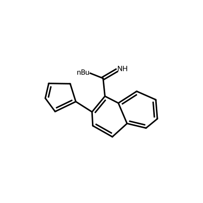 CCCCC(=N)c1c(C2=CC=CC2)ccc2ccccc12